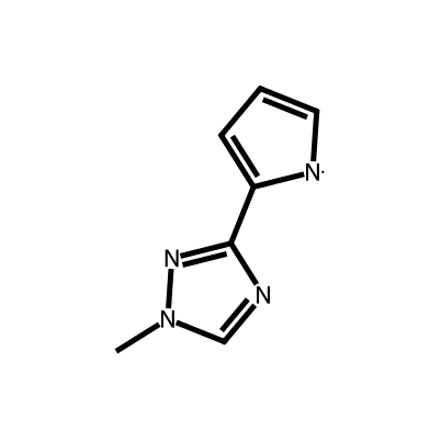 Cn1cnc(C2=CC=C[N]2)n1